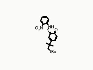 CC(C)(C)CC(C)(C)C1=C/C(=N/Nc2ccccc2[N+](=O)[O-])C(=O)C=C1